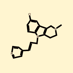 CN1CCc2c(c3cc(Cl)ccc3n2C/C=C/c2ccncc2)C1